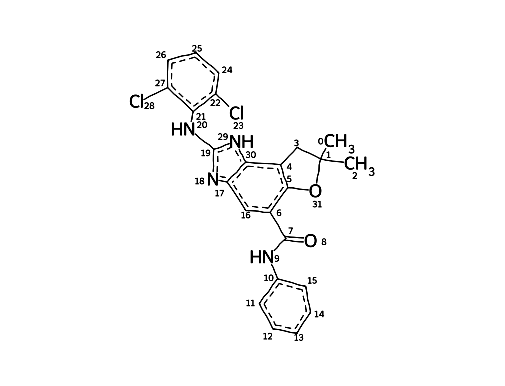 CC1(C)Cc2c(c(C(=O)Nc3ccccc3)cc3nc(Nc4c(Cl)cccc4Cl)[nH]c23)O1